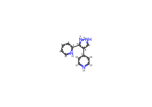 c1ccc(-c2n[nH]cc2-c2ccncc2)nc1